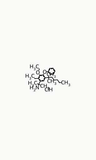 CCCCCC(C)(C)c1cc(C(C)(C)N)c(CC)c(OCC)c1Oc1ccccc1.Cl